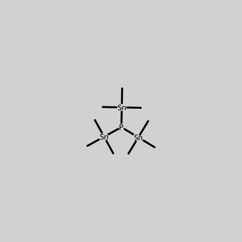 [CH3][Sn]([CH3])([CH3])[P]([Sn]([CH3])([CH3])[CH3])[Sn]([CH3])([CH3])[CH3]